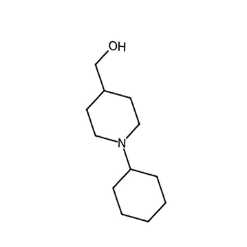 OCC1CCN(C2CCCCC2)CC1